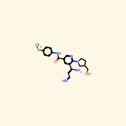 N=C/C=C(\N)c1cc(C(=O)Nc2ccc(SC(F)(F)F)cc2)cnc1N1CCC(CO)C1